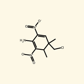 CC1C([N+](=O)[O-])=C(N)C([N+](=O)[O-])=CC1(C)CCl